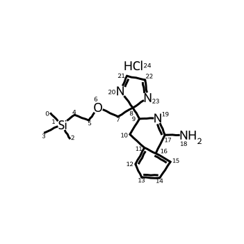 C[Si](C)(C)CCOCC1(C2Cc3ccccc3C(N)=N2)N=CC=N1.Cl